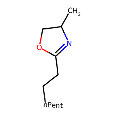 CCCCCCCC1=NC(C)CO1